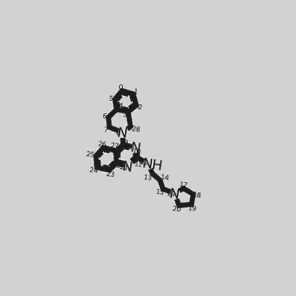 c1ccc2c(c1)CCN(c1nc(NCCCN3CCCC3)nc3ccccc13)C2